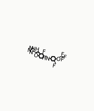 FCc1cc(NCc2ccc3oc(-c4nnn[nH]4)cc3c2F)ccc1OCC(F)(F)F